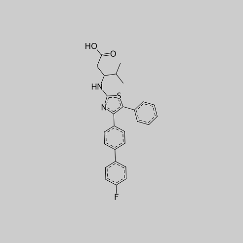 CC(C)C(CC(=O)O)Nc1nc(-c2ccc(-c3ccc(F)cc3)cc2)c(-c2ccccc2)s1